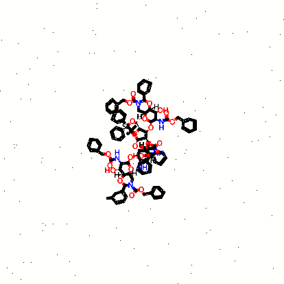 CC1C=CC=C(C2O[C@H]3[C@H](O)[C@@H](NC(=O)OCc4ccccc4)[C@@H](O[C@H]4[C@H](O[C@@H]5O[C@H](CO[Si](c6ccccc6)(c6ccccc6)C(C)(C)C)[C@@H](O[C@H]6O[C@H]7CN(C(=O)OCc8ccccc8)C(c8ccccc8)O[C@H]7[C@H](O)[C@H]6NC(=O)OCc6ccccc6)[C@H]5CC(C)(C)[Si](O)(c5ccccc5)c5ccccc5)[C@H]5OC(=O)N[C@@H]5C[C@@H]4N)O[C@@H]3CN2C(=O)OCc2ccccc2)C1